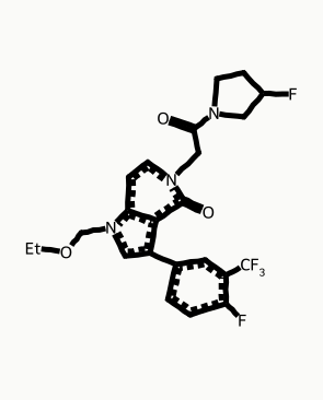 CCOCn1cc(-c2ccc(F)c(C(F)(F)F)c2)c2c(=O)n(CC(=O)N3CCC(F)C3)ccc21